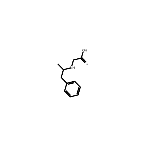 CC(Cc1ccccc1)NCC(=O)O